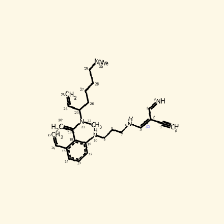 C#C/C(C=N)=C/NCCCNc1cccc(C=C)c1C(=C)N(C)C(C=C)CCCCNC